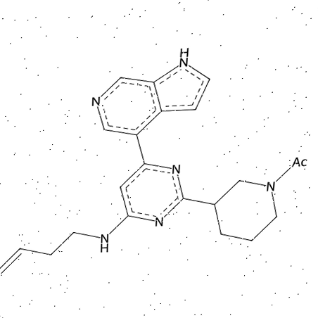 C=CCCNc1cc(-c2cncc3[nH]ccc23)nc(C2CCCN(C(C)=O)C2)n1